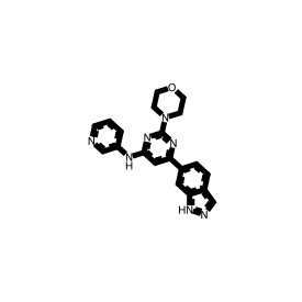 [c]1ccc(Nc2cc(-c3ccc4cn[nH]c4c3)nc(N3CCOCC3)n2)cn1